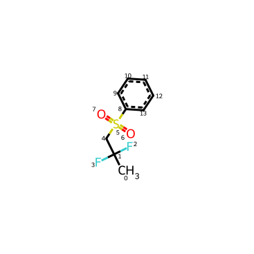 CC(F)(F)CS(=O)(=O)c1ccccc1